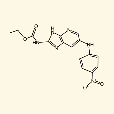 CCOC(=O)Nc1nc2cc(Nc3ccc([N+](=O)[O-])cc3)cnc2[nH]1